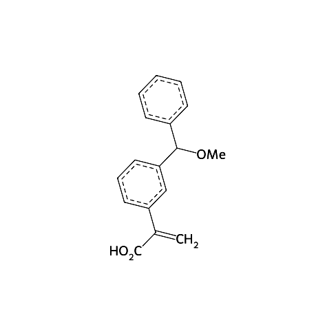 C=C(C(=O)O)c1cccc(C(OC)c2ccccc2)c1